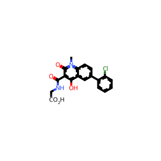 Cn1c(=O)c(C(=O)NCC(=O)O)c(O)c2cc(-c3ccccc3Cl)ccc21